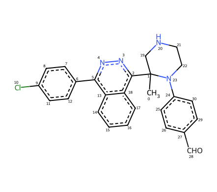 CC1(c2nnc(-c3ccc(Cl)cc3)c3ccccc23)CNCCN1c1ccc(C=O)cc1